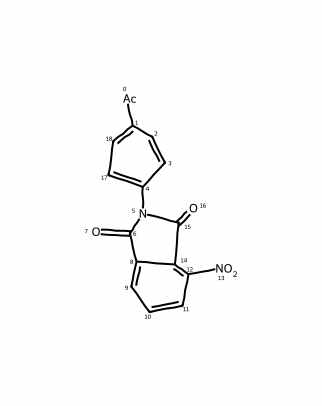 CC(=O)c1ccc(N2C(=O)c3cccc([N+](=O)[O-])c3C2=O)cc1